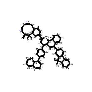 C=C1/C=C\C=C/Cc2ccc(-c3cc(-c4ccc(-c5cccc6cccnc56)cc4)c4cc(-c5ccc6c(c5)C(C)(C)c5ccccc5-6)c5ccccc5c4n3)cc2C1(C)C